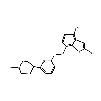 [2H]N1CCC(c2cccc(OCc3ccc(C#N)c4cc(Cl)oc34)n2)CC1